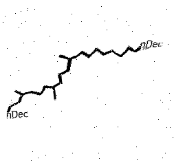 CCCCCCCCCCCCCCCCCCC(C)CCCC(C)CCCC(C)CCCCCCCCCCCC